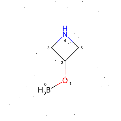 BOC1CNC1